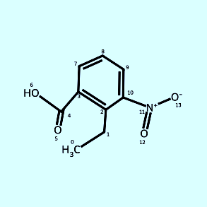 CCc1c(C(=O)O)cccc1[N+](=O)[O-]